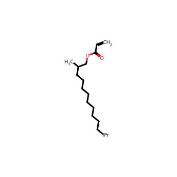 C=CC(=O)OCC(C)CCCCCCCCCC(C)C